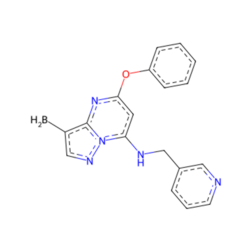 Bc1cnn2c(NCc3cccnc3)cc(Oc3ccccc3)nc12